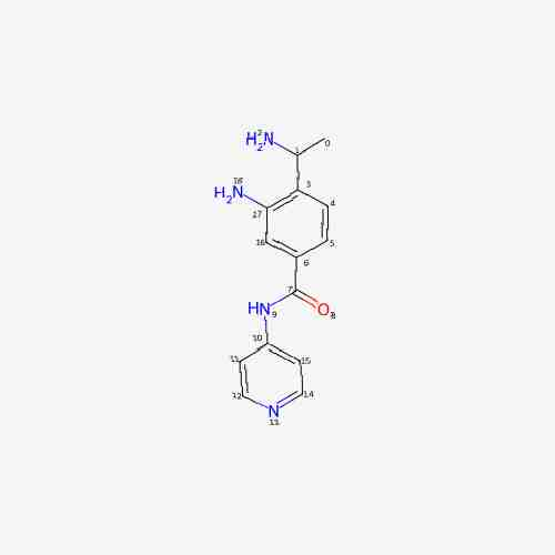 CC(N)c1ccc(C(=O)Nc2ccncc2)cc1N